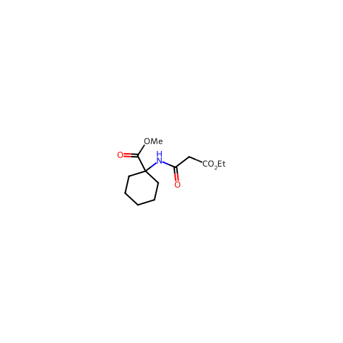 CCOC(=O)CC(=O)NC1(C(=O)OC)CCCCC1